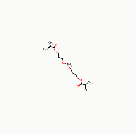 C=C(C)C(=O)OCCCCO[SiH2]OCCCOC(=O)C(=C)C